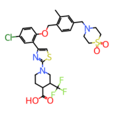 Cc1cc(CN2CCS(=O)(=O)CC2)ccc1COc1ccc(Cl)cc1-c1csc(N2CCC(C(=O)O)C(C(F)(F)F)C2)n1